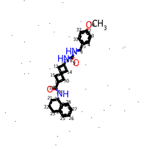 COc1ccc(CNC(=O)NC2CC3(C2)CC(C(=O)N[C@H]2CCCc4ccccc42)C3)cc1